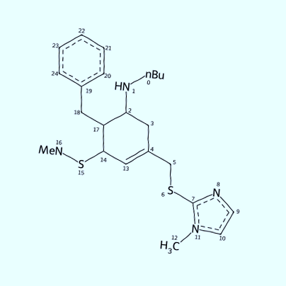 CCCCNC1CC(CSc2nccn2C)=CC(SNC)C1Cc1ccccc1